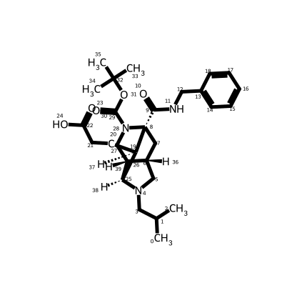 CC(C)CN1C[C@H]2C[C@@]3(C(=O)NCc4ccccc4)[C@H](CCC(=O)O)[C@@H]1[C@@H]2CN3C(=O)OC(C)(C)C